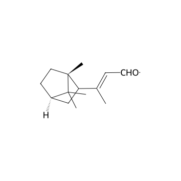 CC(=C[C]=O)C1C[C@H]2CC[C@@]1(C)C2(C)C